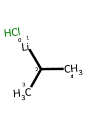 Cl.[Li][CH](C)C